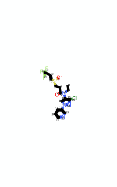 CCN(C(=O)CC[S+]([O-])/C=C/C(F)(F)F)c1cn(-c2cccnc2)nc1Cl